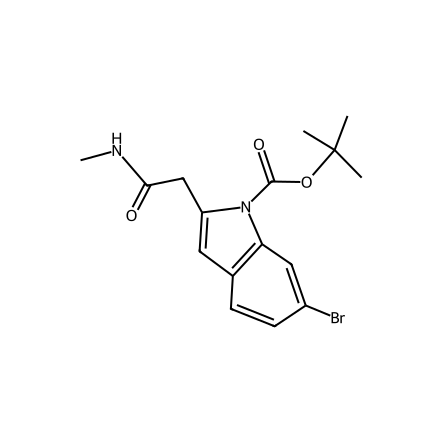 CNC(=O)Cc1cc2ccc(Br)cc2n1C(=O)OC(C)(C)C